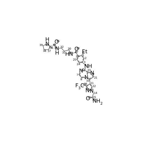 CCc1cc(Nc2nccn3c(-c4cn(CC(N)=O)nc4C(F)(F)F)cnc23)ccc1C(=O)NCCCNC(=O)[C@@H]1CCCN1